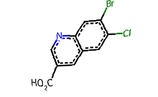 O=C(O)c1cnc2cc(Br)c(Cl)cc2c1